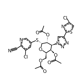 CC(=O)OC[C@H]1O[C@H](Sc2cnc(C#N)c(Cl)c2)[C@H](OC(C)=O)[C@@H](n2cc(-c3nc(Cl)cs3)nn2)[C@H]1OC(C)=O